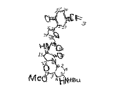 COC(=O)C1CC(NC(C)(C)C)CCC1N1CC[C@H](NC(=O)c2ccc(-c3cc(C(F)(F)F)ccc3Cl)o2)C1=O